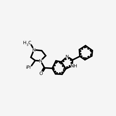 CC(C)C1CN(C)CCN1C(=O)c1ccc2[nH]c(-c3ccccc3)nc2c1